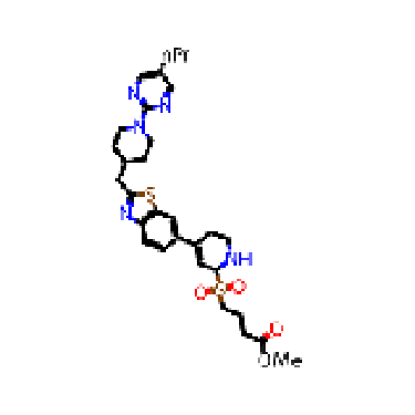 CCCc1cnc(N2CCC(Cc3nc4ccc(C5=CC(S(=O)(=O)CCCC(=O)OC)NCC5)cc4s3)CC2)nc1